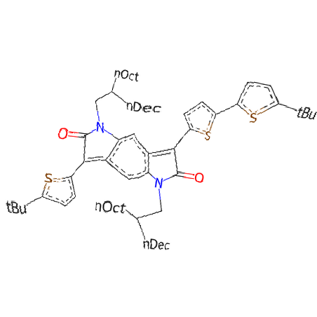 CCCCCCCCCCC(CCCCCCCC)CN1C(=O)C(c2ccc(-c3ccc(C(C)(C)C)s3)s2)=c2cc3c(cc21)=C(c1ccc(C(C)(C)C)s1)C(=O)N3CC(CCCCCCCC)CCCCCCCCCC